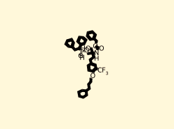 O=C(NC(CO)(CCc1ccc(OCCCCC2CCCCC2)c(C(F)(F)F)c1)CO[PH](=O)C(Cc1ccccc1)c1ccccc1)OCc1ccccc1